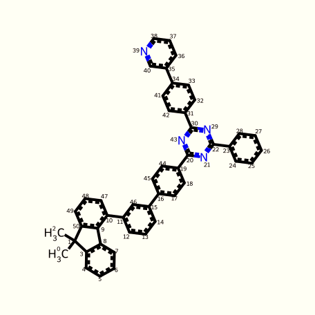 CC1(C)c2ccccc2-c2c(-c3cccc(-c4ccc(-c5nc(-c6ccccc6)nc(-c6ccc(-c7cccnc7)cc6)n5)cc4)c3)cccc21